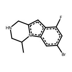 CC1CNCc2cc3c(F)cc(Br)cc3n21